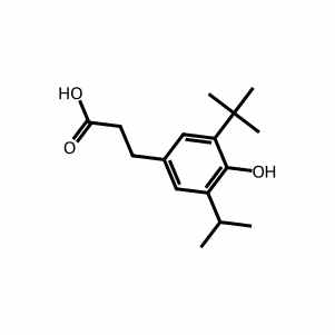 CC(C)c1cc(CCC(=O)O)cc(C(C)(C)C)c1O